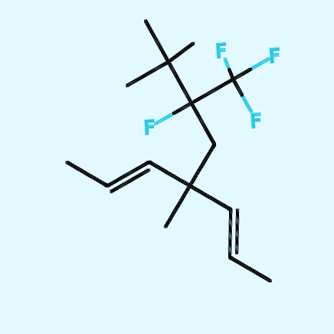 CC=CC(C)(C=CC)CC(F)(C(C)(C)C)C(F)(F)F